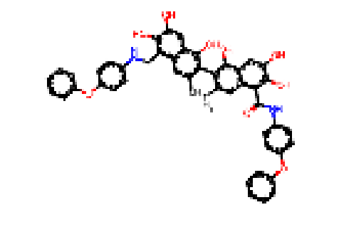 Cc1cc2c(CNc3ccc(Oc4ccccc4)cc3)c(O)c(O)cc2c(O)c1-c1c(C)cc2c(C(=O)Nc3ccc(Oc4ccccc4)cc3)c(O)c(O)cc2c1O